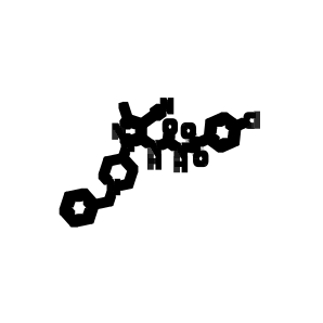 Cc1nn(C2CCN(Cc3ccccc3)CC2)c(NC(=O)NS(=O)(=O)c2ccc(Cl)cc2)c1C#N